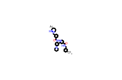 CC(=O)C1CCCN(Cc2cccc(C(=O)Nc3ccc(N4CCCCC4)cc3-c3cc(C(=O)NCc4cccc(C(F)(F)F)c4)ccn3)c2)NC1